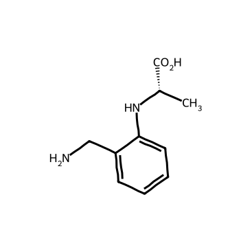 C[C@H](Nc1ccccc1CN)C(=O)O